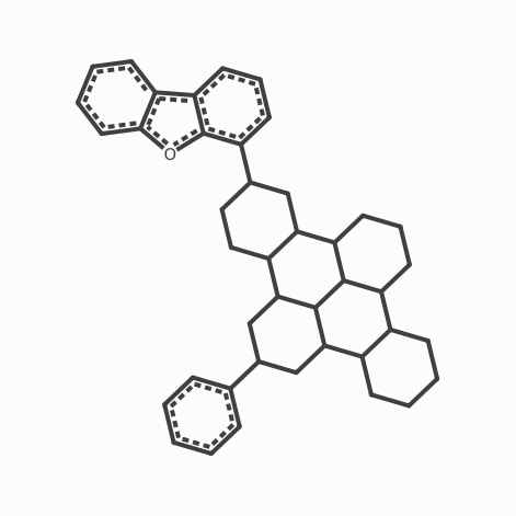 c1ccc(C2CC3C4CCCCC4C4CCCC5C6CC(c7cccc8c7oc7ccccc78)CCC6C(C2)C3C45)cc1